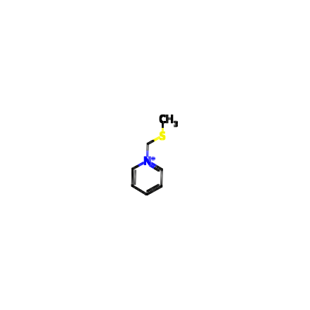 CSC[n+]1ccccc1